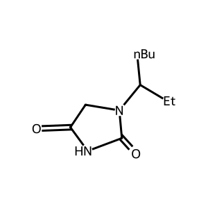 CCCCC(CC)N1CC(=O)NC1=O